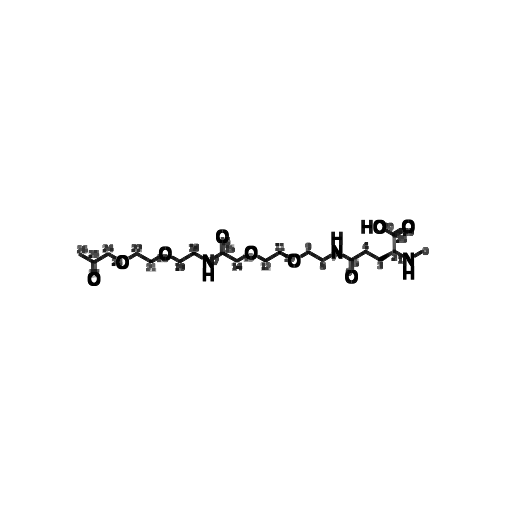 CN[C@@H](CCC(=O)NCCOCCOCC(=O)NCCOCCOCC(C)=O)C(=O)O